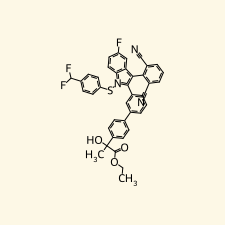 CCOC(=O)C(C)(O)c1ccc(-c2cccc(-c3c(-c4c(C#N)cccc4C#N)c4cc(F)ccc4n3Sc3ccc(C(F)F)cc3)c2)cc1